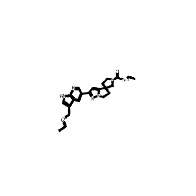 CCNC(=O)N1CCC2(CCn3nc(-c4cnc5[nH]cc(COCC)c5c4)cc32)C1